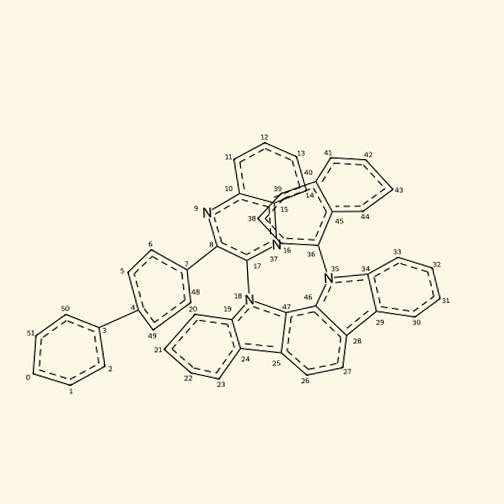 c1ccc(-c2ccc(-c3nc4ccccc4nc3-n3c4ccccc4c4ccc5c6ccccc6n(-c6cccc7ccccc67)c5c43)cc2)cc1